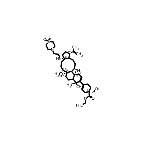 C=C(C)[C@@H]1CC[C@]2(NCCN3CCS(=O)(=O)CC3)CC[C@@H](C)[C@]3(C)CCC4C(C)(C)C(C5=CC[C@](CO)(C(=O)OCC)CC5)=CC[C@]4(C)C3CCCC12